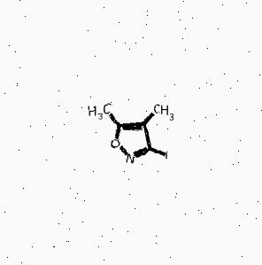 Cc1onc(I)c1C